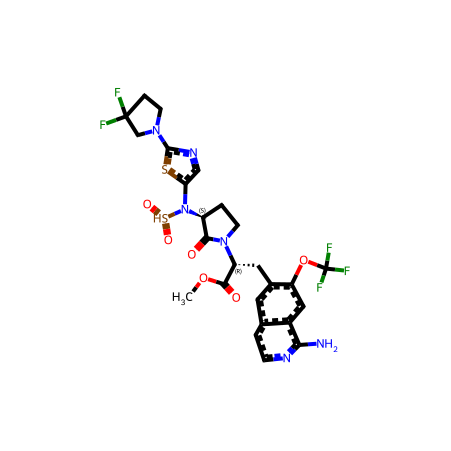 COC(=O)[C@@H](Cc1cc2ccnc(N)c2cc1OC(F)(F)F)N1CC[C@H](N(c2cnc(N3CCC(F)(F)C3)s2)[SH](=O)=O)C1=O